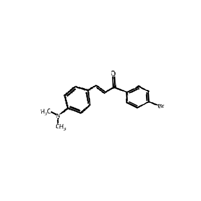 CN(C)c1ccc(/C=C/C(=O)c2ccc(Br)cc2)cc1